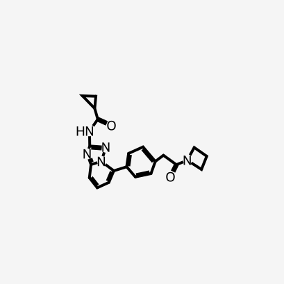 O=C(Nc1nc2cccc(-c3ccc(CC(=O)N4CCC4)cc3)n2n1)C1CC1